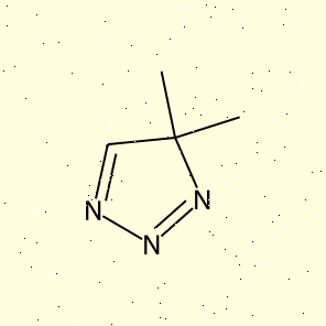 CC1(C)C=NN=N1